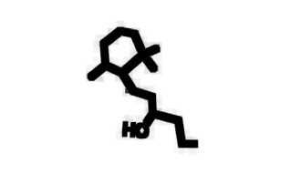 CCCC(O)C[CH]C1C(C)CCCC1(C)C